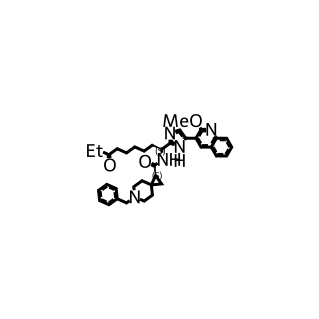 CCC(=O)CCCCC[C@H](NC(=O)[C@H]1CC12CCN(Cc1ccccc1)CC2)c1ncc(-c2cc3ccccc3nc2OC)[nH]1